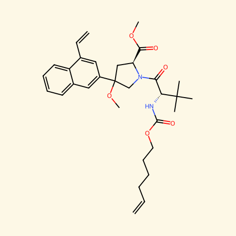 C=CCCCCOC(=O)N[C@H](C(=O)N1CC(OC)(c2cc(C=C)c3ccccc3c2)C[C@H]1C(=O)OC)C(C)(C)C